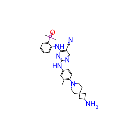 Cc1cc(Nc2ncc(C#N)c(Nc3ccccc3P(C)(C)=O)n2)ccc1N1CCC2(CC1)CC(N)C2